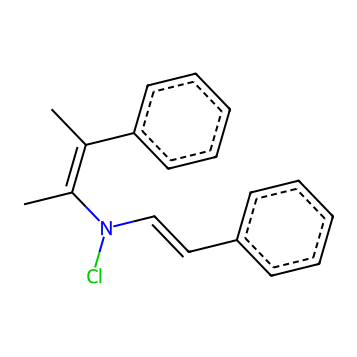 CC(=C(C)N(Cl)C=Cc1ccccc1)c1ccccc1